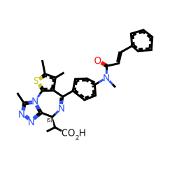 Cc1sc2c(c1C)C(c1ccc(N(C)C(=O)C=Cc3ccccc3)cc1)=N[C@@H](C(C)C(=O)O)c1nnc(C)n1-2